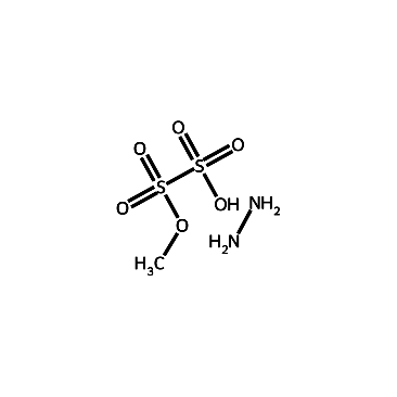 COS(=O)(=O)S(=O)(=O)O.NN